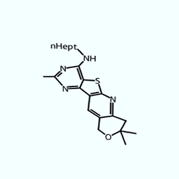 CCCCCCCNc1nc(C)nc2c1sc1nc3c(cc12)COC(C)(C)C3